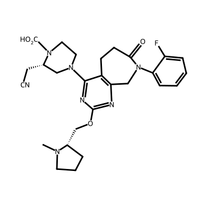 CN1CCC[C@H]1COc1nc2c(c(N3CCN(C(=O)O)[C@@H](CC#N)C3)n1)CCC(=O)N(c1ccccc1F)C2